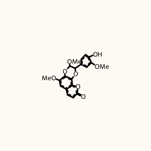 COc1cc(C2Oc3c(c(OC)cc4ccc(=O)oc34)OC2OC)ccc1O